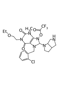 CCOCCn1c(=O)c2c(n(C)c1=O)N(OC(=O)C(F)(F)F)C(N1CCC3CNCC31)N2Cc1ccccc1Cl